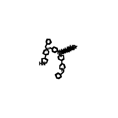 Br.Br.Br.Br.Br.Br.Br.Br.C1=CC(C2=CC[N+](Cc3ccccc3)(Cc3ccc(CN4C=CC(C5=CCN(Cc6ccccc6)C=C5)=CC4)cc3)C=C2)=CCN1